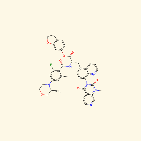 Cc1cc(N2CCOC[C@@H]2C(F)(F)F)cc(F)c1C(=O)N[C@@H](Cc1ccc(-n2c(=O)c3ccncc3n(C)c2=O)c2ncccc12)C(=O)Oc1ccc2c(c1)OCC2